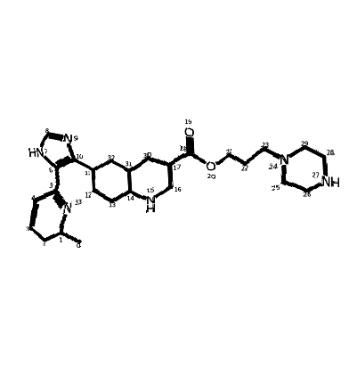 CC1CC=CC(c2[nH]cnc2C2CCC3NCC(C(=O)OCCCN4CCNCC4)CC3C2)=N1